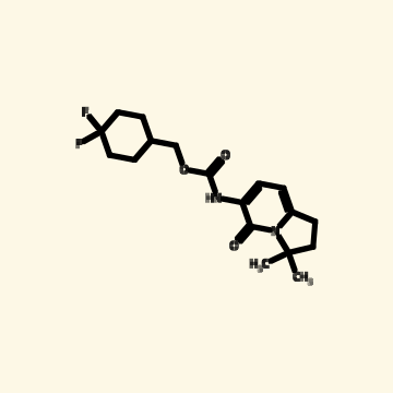 CC1(C)CCc2ccc(NC(=O)OCC3CCC(F)(F)CC3)c(=O)n21